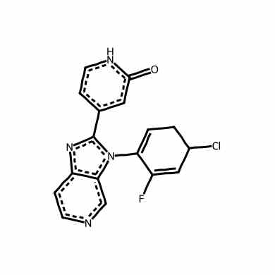 O=c1cc(-c2nc3ccncc3n2C2=CCC(Cl)C=C2F)cc[nH]1